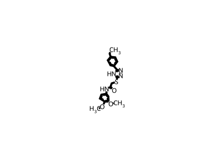 CCc1ccc(-c2nnc(SCC(=O)Nc3ccc(OC)c(OC)c3)[nH]2)cc1